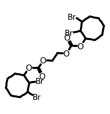 O=C(OCCOC(=O)OC1CCCCCC(Br)C1Br)OC1CCCCCC(Br)C1Br